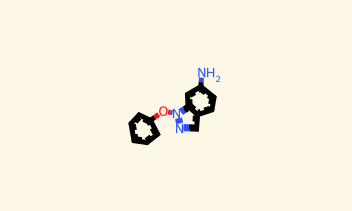 Nc1ccc2cnn(Oc3ccccc3)c2c1